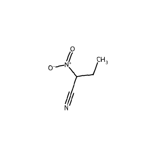 CCC(C#N)[N+](=O)[O-]